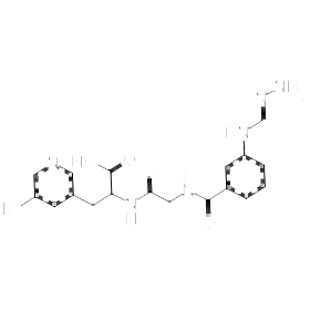 NN=CNc1cccc(C(=O)NCC(=O)NC(Cc2cncc(Br)c2)C(=O)O)c1